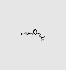 CCNCCOc1cccc(OCC(=O)CC)c1